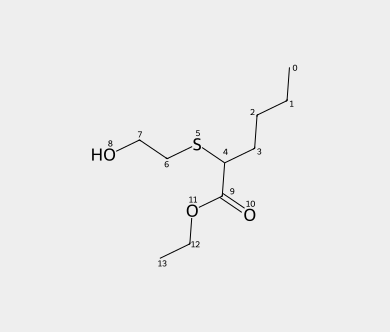 CCCCC(SCCO)C(=O)OCC